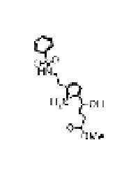 COC(=O)CCC(O)c1ccc(CCNS(=O)(=O)c2ccccc2)n1C